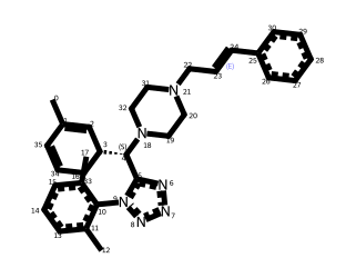 CC1=CC([C@@H](c2nnnn2-c2c(C)cccc2C)N2CCN(C/C=C/c3ccccc3)CC2)CC=C1